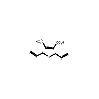 C=CCOCC=C.O=C(O)/C=C\C(=O)O